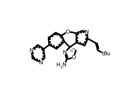 CC(C)(C)C=Cc1cc2c(cn1)Oc1ccc(-c3cncnc3)cc1[C@@]21COC(N)=N1